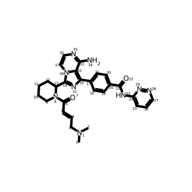 CN(C)CC=CC(=O)N1CCCCC1c1nc(-c2ccc(C(=O)Nc3cccnn3)cc2)c2c(N)nccn12